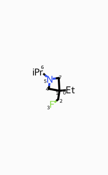 CCC1(CF)CN(C(C)C)C1